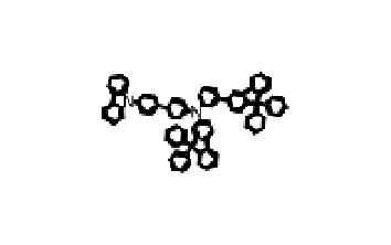 c1ccc(C2(c3ccccc3)c3ccccc3-c3cc(-c4cccc(N(c5ccc(-c6ccc(-n7c8ccccc8c8ccccc87)cc6)cc5)c5ccc6c(c5)C(c5ccccc5)(c5ccccc5)c5ccccc5-6)c4)ccc32)cc1